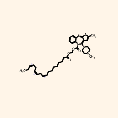 CC/C=C\C/C=C\C/C=C\CCCCCCCC(=O)OCOC(=O)N1C(N2CCN(C)CC2)=c2cc(C)sc2=Nc2ccccc21